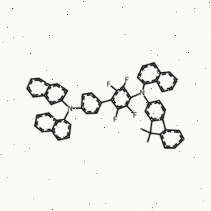 CC1(C)c2ccccc2-c2ccc(N(c3c(F)c(F)c(-c4ccc(N(c5ccc6ccccc6c5)c5cccc6ccccc56)cc4)c(F)c3F)c3cccc4ccccc34)cc21